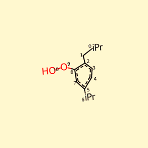 CC(C)Cc1ccc(C(C)C)cc1OO